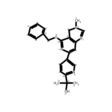 CN1C=Nc2cc(-c3ccc(C(C)(C)O)nc3)nc(OCc3ccccc3)c2C1